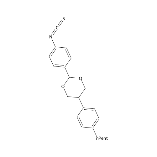 CCCCCc1ccc(C2COC(c3ccc(N=C=S)cc3)OC2)cc1